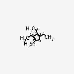 CCC1=C(CC)C(CC)=C([SiH3])C1